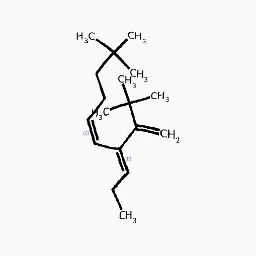 C=C(C(/C=C\CCC(C)(C)C)=C/CC)C(C)(C)C